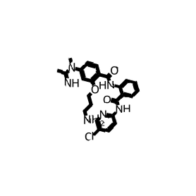 CC(=N)N(C)c1ccc(C(=O)Nc2ccccc2C(=O)Nc2ccc(Cl)cn2)c(OCCCN)c1